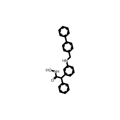 O=C(NO)C(c1ccccc1)c1cccc(NCc2ccc(-c3ccccc3)cc2)c1